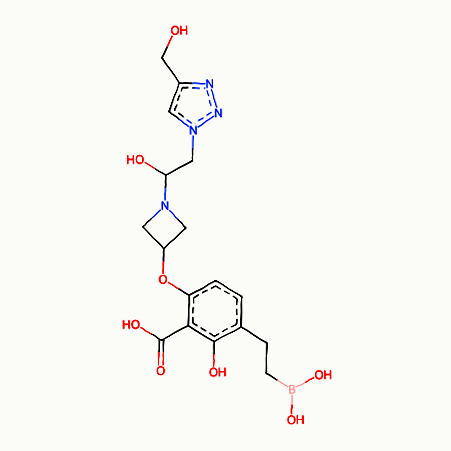 O=C(O)c1c(OC2CN(C(O)Cn3cc(CO)nn3)C2)ccc(CCB(O)O)c1O